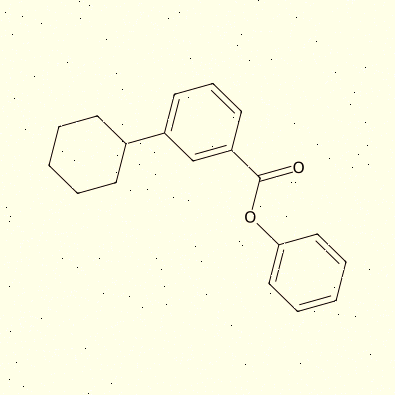 O=C(Oc1ccccc1)c1cccc(C2CCCCC2)c1